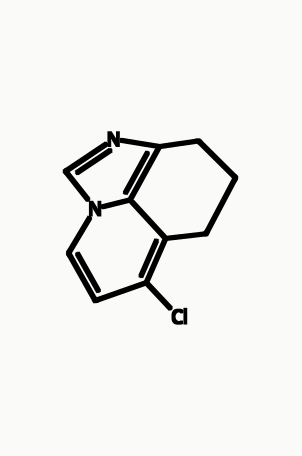 Clc1ccn2cnc3c2c1CCC3